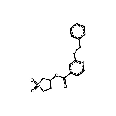 O=C(OC1CCS(=O)(=O)C1)c1ccnc(OCc2ccccc2)c1